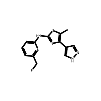 Cc1sc(Nc2cccc(CF)n2)nc1-c1cn[nH]c1